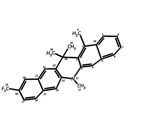 Cc1c2c(cc3ccccc13)N(C)c1cc3ccc(C(F)(F)F)cc3cc1C2(C)C